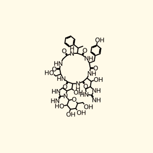 CC(c1ccccc1)C1NC(=O)CNC(=O)C(CO)NC(=O)C(C(O)C2CNC(=N)N2C2OC(CO)C(O)C(O)C2O)NC(=O)C(C(O)C2CNC(=N)N2)NC(=O)C(Cc2ccc(O)cc2)NC1=O